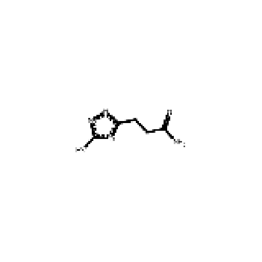 NC(=O)CCc1nnc(S)o1